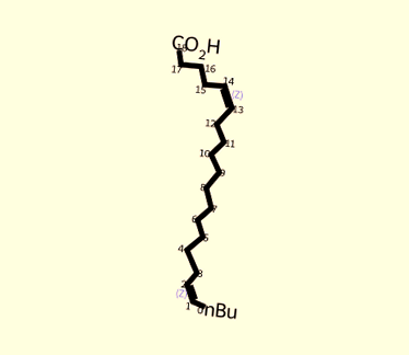 CCCC/C=C\CCCCCCCCCC/C=C\CCCC(=O)O